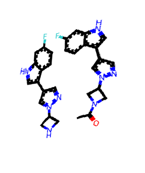 CC(=O)N1CC(n2cc(-c3c[nH]c4cc(F)ccc34)cn2)C1.Fc1ccc2c(-c3cnn(C4CNC4)c3)c[nH]c2c1